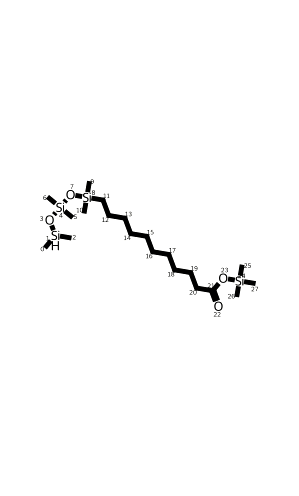 C[SiH](C)O[Si](C)(C)O[Si](C)(C)CCCCCCCCCCC(=O)O[Si](C)(C)C